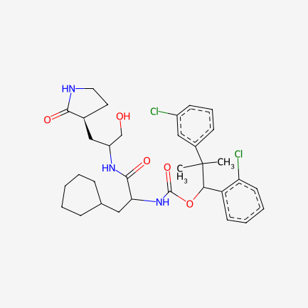 CC(C)(c1cccc(Cl)c1)C(OC(=O)NC(CC1CCCCC1)C(=O)NC(CO)C[C@@H]1CCNC1=O)c1ccccc1Cl